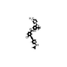 CN1CCN(Cc2ccc(NC(=O)c3ccc(Cl)c(C#Cc4ccc(NC5CC5)nn4)c3)cc2C(F)(F)F)CC1